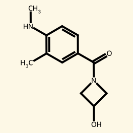 CNc1ccc(C(=O)N2CC(O)C2)cc1C